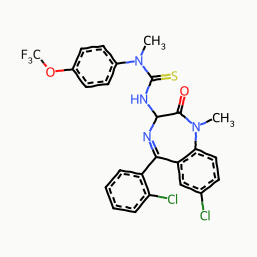 CN(C(=S)NC1N=C(c2ccccc2Cl)c2cc(Cl)ccc2N(C)C1=O)c1ccc(OC(F)(F)F)cc1